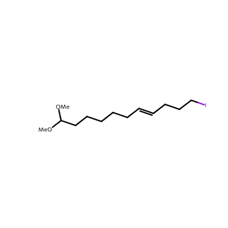 COC(CCCCC/C=C/CCCI)OC